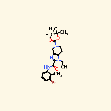 CCn1c(C(=O)Nc2cccc(Br)c2C)nc2c1CCN(C(=O)OC(C)(C)C)C2